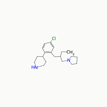 CCC(Cc1cc(Cl)ccc1C1CCNCC1)CN1CCCC1